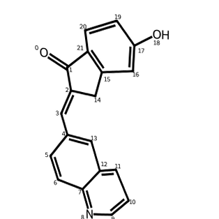 O=C1C(=Cc2ccc3ncccc3c2)Cc2cc(O)ccc21